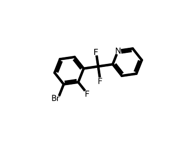 Fc1c(Br)cccc1C(F)(F)c1ccccn1